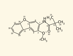 COc1cc2c(cc1NC(=O)C(C)(C)C)oc1ccccc12